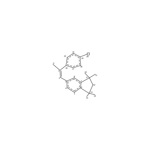 CC(=Cc1ccc2c(c1)C(C)(C)CC2(C)C)c1ccc(Cl)cc1